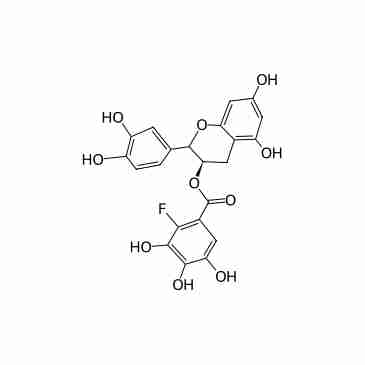 O=C(O[C@@H]1Cc2c(O)cc(O)cc2OC1c1ccc(O)c(O)c1)c1cc(O)c(O)c(O)c1F